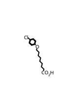 O=C(O)CCCCCCCCOc1ccc(Cl)cc1